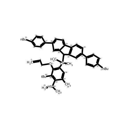 C=CCOc1c([Si](C)(C)C2c3cc(-c4ccc(CCCC)cc4)ccc3-c3ccc(-c4ccc(CCCC)cc4)cc32)cc(C)c([SiH](C)C)c1C(C)(C)C